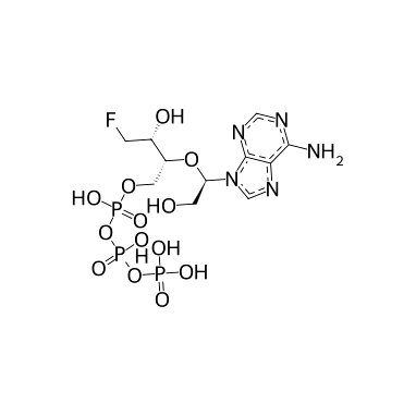 Nc1ncnc2c1ncn2[C@@H](CO)O[C@H](COP(=O)(O)OP(=O)(O)OP(=O)(O)O)[C@@H](O)CF